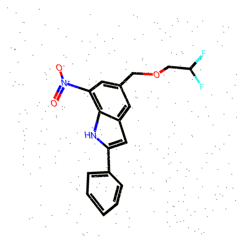 O=[N+]([O-])c1cc(COCC(F)F)cc2cc(-c3ccccc3)[nH]c12